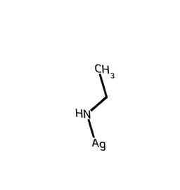 CC[NH][Ag]